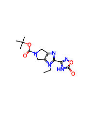 CCn1c(-c2noc(=O)[nH]2)nc2c1CN(C(=O)OC(C)(C)C)C2